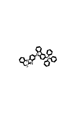 c1ccc([Si](c2ccccc2)(c2ccccc2)c2ccc3c(c2)c2ccccc2n3-c2ccc3c(c2)nc2n3-c3ccccc3CS2)cc1